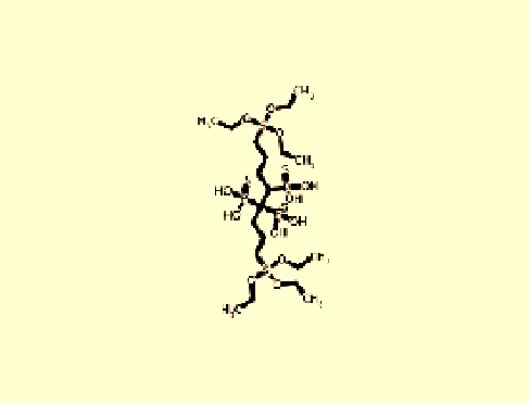 CCO[Si](CCC[C](C(CCC[Si](OCC)(OCC)OCC)(P(O)(O)=S)P(O)(O)=S)P(O)(O)=S)(OCC)OCC